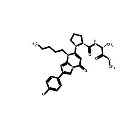 CCCCCn1c(N2CCC[C@H]2C(=O)N[C@H](C)C(=O)OC)cc(=O)n2cc(-c3ccc(Cl)cc3)nc12